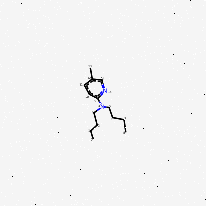 CCCCN(CCCC)c1ccc(C)cn1